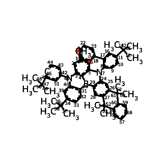 Cc1cc2c3c(c1)N(c1ccc(C(C)(C)C)cc1-c1ccccc1)c1cc4c(cc1B3c1ccc(C(C)(C)C)cc1N2c1cccc(C(C)(C)C)c1)C(C)(C)c1ccccc1C4(C)C